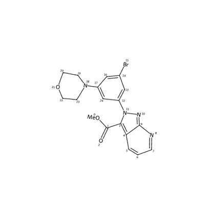 COC(=O)c1c2cccnc2nn1-c1cc(Br)cc(N2CCOCC2)c1